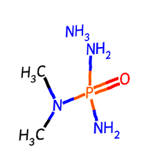 CN(C)P(N)(N)=O.N